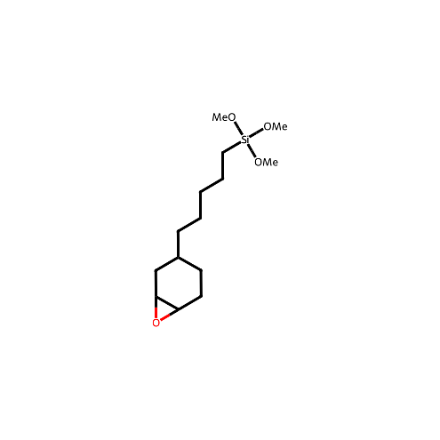 CO[Si](CCCCCC1CCC2OC2C1)(OC)OC